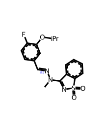 CC(C)Oc1cc(/C=N/N(C)C2=NS(=O)(=O)c3ccccc32)ccc1F